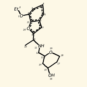 CCOc1cccc2cc(C(C)NCC3CC(O)CCO3)oc12